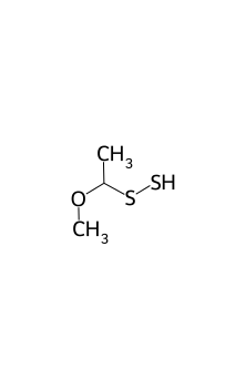 COC(C)SS